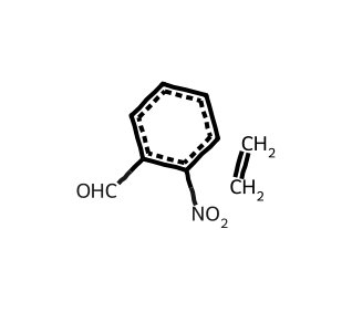 C=C.O=Cc1ccccc1[N+](=O)[O-]